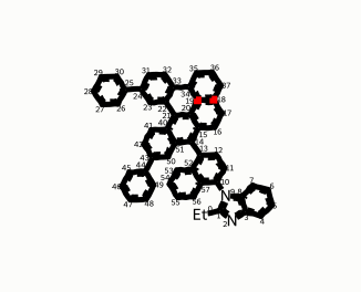 CCc1nc2ccccc2n1-c1ccc(-c2c3ccccc3c(-c3cc(-c4ccccc4)ccc3-c3ccccc3)c3ccc(-c4ccccc4)cc23)c2ccccc12